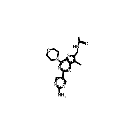 CC(=O)NCc1sc2c(N3CCOCC3)nc(-c3cnc(N)nc3)nc2c1C